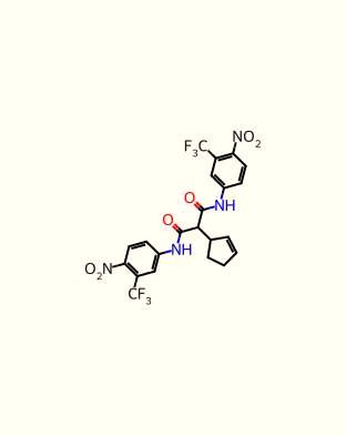 O=C(Nc1ccc([N+](=O)[O-])c(C(F)(F)F)c1)C(C(=O)Nc1ccc([N+](=O)[O-])c(C(F)(F)F)c1)C1C=CCC1